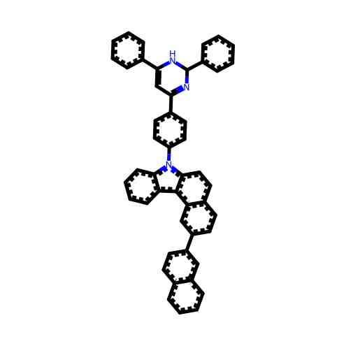 C1=C(c2ccccc2)NC(c2ccccc2)N=C1c1ccc(-n2c3ccccc3c3c4cc(-c5ccc6ccccc6c5)ccc4ccc32)cc1